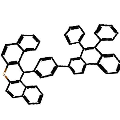 c1ccc(-c2c(-c3ccccc3)c3cc(-c4ccc(C5c6c(ccc7ccccc67)Sc6ccc7ccccc7c65)cc4)ccc3c3ccccc23)cc1